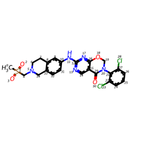 CS(=O)(=O)CN1CCc2cc(Nc3ncc4c(n3)OCN(c3c(Cl)cccc3Cl)C4=O)ccc2C1